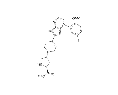 COC(=O)[C@@H]1CC(N2CC=C(c3cc4c(-c5cc(F)ccc5OC)ccnc4[nH]3)CC2)CN1